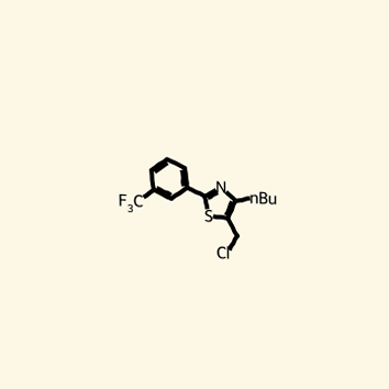 CCCCc1nc(-c2cccc(C(F)(F)F)c2)sc1CCl